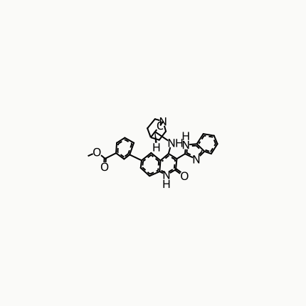 COC(=O)c1cccc(-c2ccc3[nH]c(=O)c(-c4nc5ccccc5[nH]4)c(N[C@H]4CN5CCC4CC5)c3c2)c1